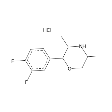 CC1COC(c2ccc(F)c(F)c2)C(C)N1.Cl